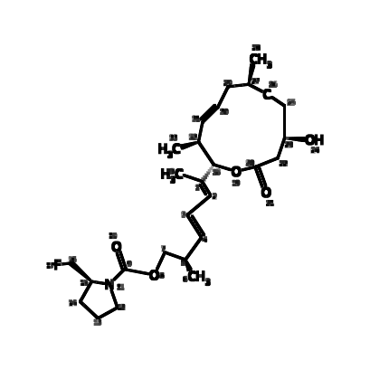 C/C(=C\C=C\[C@@H](C)COC(=O)N1CCC[C@H]1CF)[C@H]1OC(=O)C[C@H](O)CC[C@H](C)C/C=C/[C@@H]1C